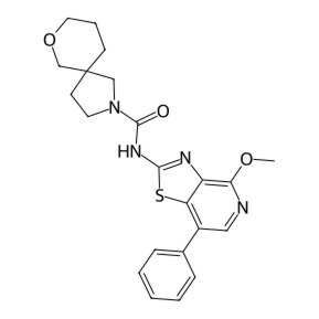 COc1ncc(-c2ccccc2)c2sc(NC(=O)N3CCC4(CCCOC4)C3)nc12